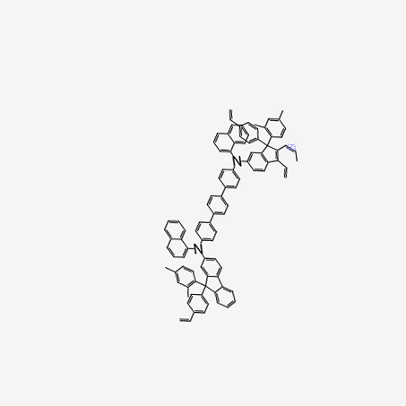 C=CC1=C(/C=C\C)C(c2ccc(C=C)cc2)(c2ccc(C)cc2C)c2cc(N(c3ccc(-c4ccc(-c5ccc(N(c6ccc7c(c6)C(c6ccc(C=C)cc6)(c6ccc(C)cc6C)c6ccccc6-7)c6cccc7ccccc67)cc5)cc4)cc3)c3cccc4ccccc34)ccc21